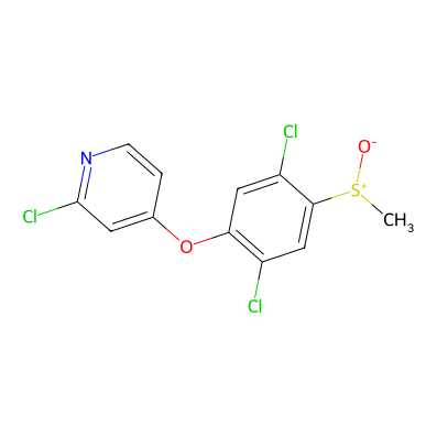 C[S+]([O-])c1cc(Cl)c(Oc2ccnc(Cl)c2)cc1Cl